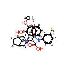 COc1ccc(N(C(=O)O)c2cccc(F)c2)c(CC2C3CCC2CN(Cc2ccccc2)C3)c1O